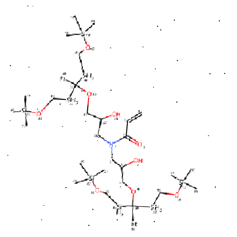 C=CC(=O)N(CC(O)COC(CC)([SiH2]CO[Si](C)(C)C)[SiH2]CO[Si](C)(C)C)CC(O)COC(CC)([SiH2]CO[Si](C)(C)C)[SiH2]CO[Si](C)(C)C